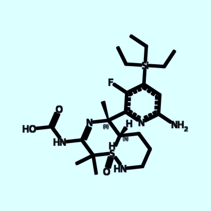 CC[Si](CC)(CC)c1cc(N)nc([C@@]2(C)N=C(NC(=O)O)C(C)(C)[SH]3(=O)NCCC[C@@H]23)c1F